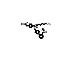 CCCCCCc1nc(-c2ccc(CC(=O)O)cc2)n(Cc2ccc(-c3ccccc3-c3nnn[nH]3)cc2)n1